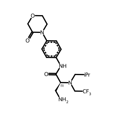 CC(C)CN(CC(F)(F)F)[C@@H](CN)C(=O)Nc1ccc(N2CCOCC2=O)cc1